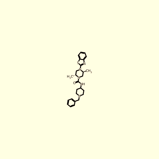 C[C@@H]1CN(c2nc3ccccc3s2)[C@@H](C)CN1C(=O)NC1CCN(Cc2ccccc2)CC1